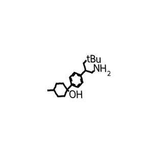 CC1CCC(O)(c2ccc(C(CN)CC(C)(C)C)cc2)CC1